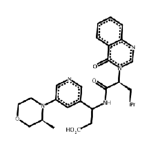 CC(C)C[C@@H](C(=O)NC(CC(=O)O)c1cncc(N2CCOC[C@@H]2C)c1)n1cnc2ccccc2c1=O